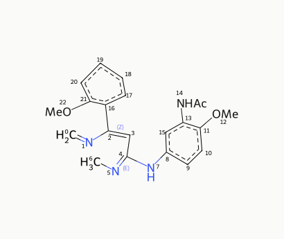 C=N/C(=C\C(=N/C)Nc1ccc(OC)c(NC(C)=O)c1)c1ccccc1OC